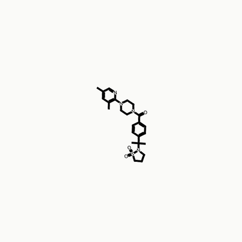 Cc1cnc(N2CCN(C(=O)c3ccc(C(C)(C)N4CCCS4(=O)=O)cc3)CC2)c(C)c1